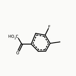 Cc1ccc(C(=O)C(=O)O)cc1F